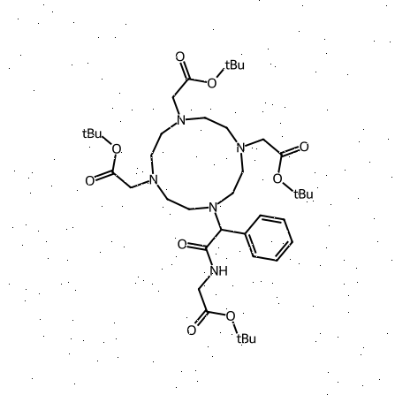 CC(C)(C)OC(=O)CNC(=O)C(c1ccccc1)N1CCN(CC(=O)OC(C)(C)C)CCN(CC(=O)OC(C)(C)C)CCN(CC(=O)OC(C)(C)C)CC1